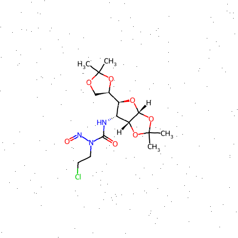 CC1(C)O[C@H]2O[C@H]([C@H]3COC(C)(C)O3)[C@@H](NC(=O)N(CCCl)N=O)[C@H]2O1